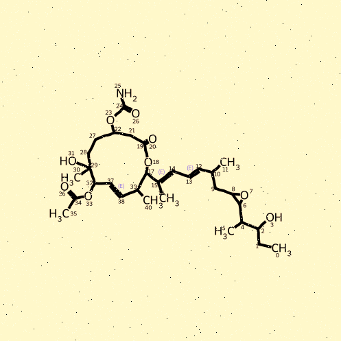 CCC(O)C(C)C1OC1CC(C)/C=C/C=C(\C)C1OC(=O)CC(OC(N)=O)CCC(C)(O)C(OC(C)=O)/C=C/C1C